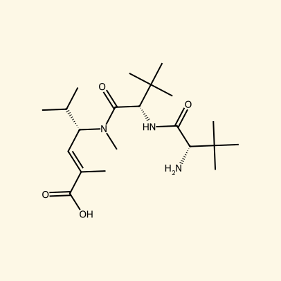 C/C(=C\[C@H](C(C)C)N(C)C(=O)[C@@H](NC(=O)[C@@H](N)C(C)(C)C)C(C)(C)C)C(=O)O